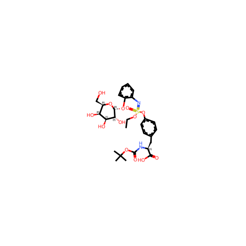 CCOS(=O)(=Nc1ccccc1O[C@H]1O[C@H](CO)[C@H](O)[C@H](O)[C@H]1O)Oc1ccc(C[C@H](NC(=O)OC(C)(C)C)C(=O)O)cc1